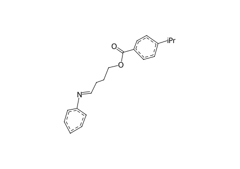 CC(C)c1ccc(C(=O)OCCCC=Nc2ccccc2)cc1